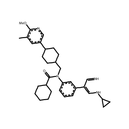 COc1ncc(C2CCC(CN(C(=O)C3CCCCC3)c3cccc(/C(C=N)=C/NC4CC4)c3)CC2)cc1C